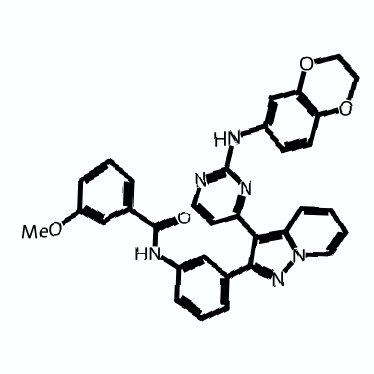 COc1cccc(C(=O)Nc2cccc(-c3nn4ccccc4c3-c3ccnc(Nc4ccc5c(c4)OCCO5)n3)c2)c1